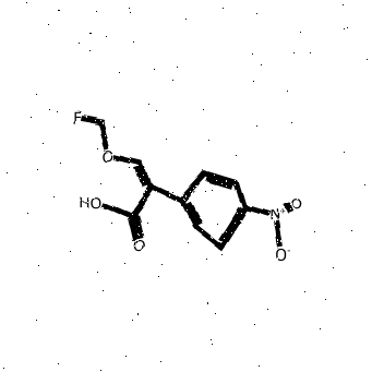 O=C(O)C(=COCF)c1ccc([N+](=O)[O-])cc1